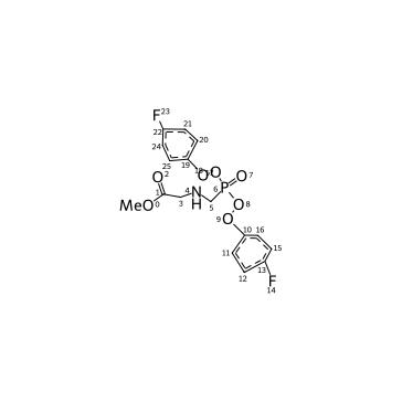 COC(=O)CNCP(=O)(OOc1ccc(F)cc1)OOc1ccc(F)cc1